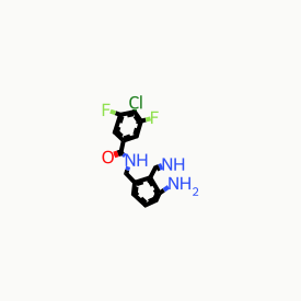 N=Cc1c(N)cccc1CNC(=O)c1cc(F)c(Cl)c(F)c1